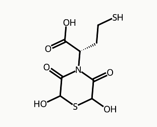 O=C(O)[C@H](CCS)N1C(=O)C(O)SC(O)C1=O